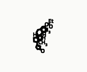 CCC(=O)OC1CCC2(C)C(CC[C@@H]3[C@@H]2CCC2(C)C(C4=CC(=O)CC4)CCC32O)C1